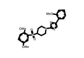 COc1ccc(OC)c(S(=O)(=O)C2CCN(c3nc(-c4ccccc4OC)cs3)CC2)c1